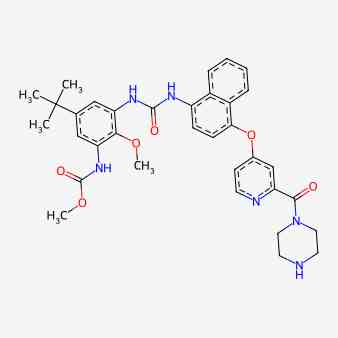 COC(=O)Nc1cc(C(C)(C)C)cc(NC(=O)Nc2ccc(Oc3ccnc(C(=O)N4CCNCC4)c3)c3ccccc23)c1OC